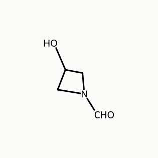 O=CN1CC(O)C1